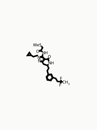 CSCC(=O)Nc1c2c(nn1CCC1CC1)CC(CCc1cccc(CCC(C)(F)F)c1)NC2=O